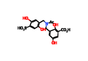 CC(=O)N(Cc1cc(O)c(S(=O)(=O)O)cc1O)Cc1cc(O)cc(C(=O)O)c1O